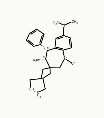 CCCCC1(CCCC)C[S+]([O-])c2ccc(N(C)C)cc2[C@@H](c2ccccc2)[C@H]1O